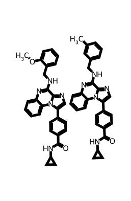 COc1ccccc1CNc1nc2ccccc2n2c(-c3ccc(C(=O)NC4CC4)cc3)cnc12.Cc1cccc(CNc2nc3ccccc3n3c(-c4ccc(C(=O)NC5CC5)cc4)cnc23)c1